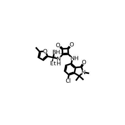 B[C@](CC)(Nc1c(Nc2ccc(Cl)c3c2C(=O)N(C)C3(C)C)c(=O)c1=O)c1ccc(C)o1